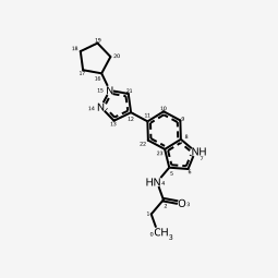 CCC(=O)Nc1c[nH]c2ccc(-c3cnn(C4CCCC4)c3)cc12